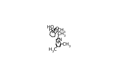 Cc1cc(C)c2nc(C[C@]3(C(C)(C)C)CCCCN3C(=O)O)cn2c1